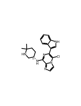 CC1(C)CC[C@H](Nc2nc(-c3c[nH]c4ccccc34)c(Cl)n3ccnc23)CN1